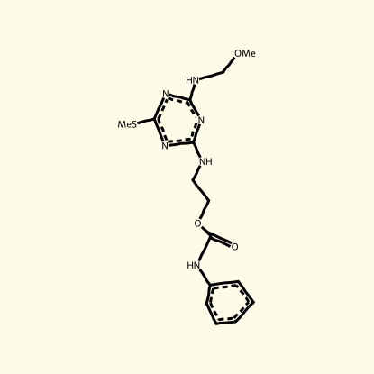 COCNc1nc(NCCOC(=O)Nc2ccccc2)nc(SC)n1